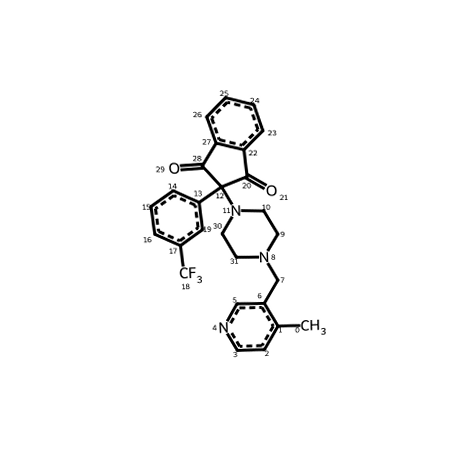 Cc1ccncc1CN1CCN(C2(c3cccc(C(F)(F)F)c3)C(=O)c3ccccc3C2=O)CC1